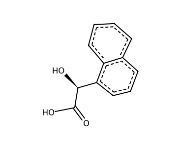 O=C(O)[C@@H](O)c1cccc2ccccc12